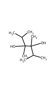 CC(C)C(C)(O)C(C)(O)C(C)C